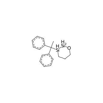 CC(c1ccccc1)(c1ccccc1)[SiH]1CCCO[SiH2]1